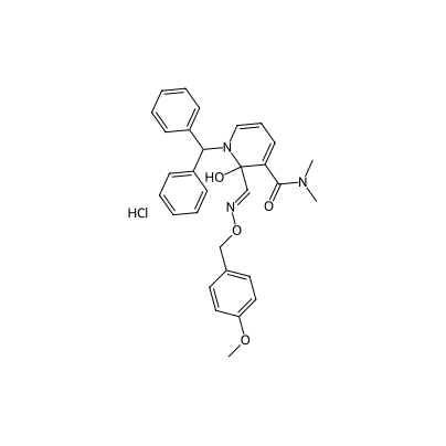 COc1ccc(CON=CC2(O)C(C(=O)N(C)C)=CC=CN2C(c2ccccc2)c2ccccc2)cc1.Cl